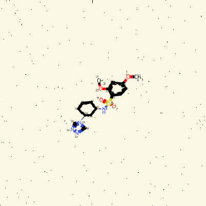 COc1ccc(S(=O)(=O)N[C@H]2CCC[C@@H](n3cnnc3)C2)c(OC)c1